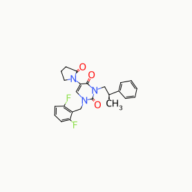 C[C@@H](Cn1c(=O)c(N2CCCC2=O)cn(Cc2c(F)cccc2F)c1=O)c1ccccc1